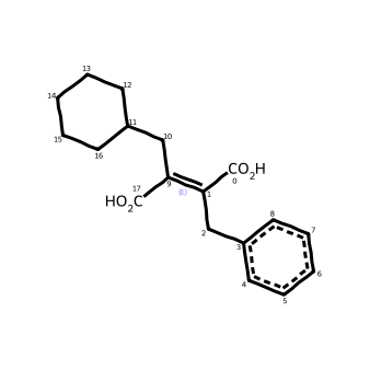 O=C(O)/C(Cc1ccccc1)=C(\CC1CCCCC1)C(=O)O